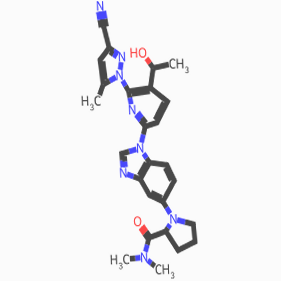 Cc1cc(C#N)nn1-c1nc(-n2cnc3cc(N4CCCC4C(=O)N(C)C)ccc32)ccc1C(C)O